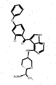 CC(=O)N[C@H](C)[C@@H]1CC[C@@H](Nc2ncnc3[nH]cc(C(=O)c4ccc(Oc5ccccc5)cc4Cl)c23)CO1